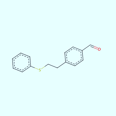 O=Cc1ccc(CCSc2ccccc2)cc1